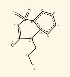 O=S1(=O)N=C(Cl)N(CCF)c2ccccc21